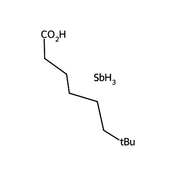 CC(C)(C)CCCCCC(=O)O.[SbH3]